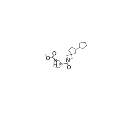 CC[C@H](CNC(=O)OC)C(=O)N1CC2(CCC(C3CCCC3)C2)C1